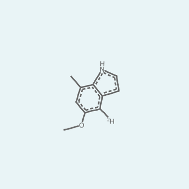 [2H]c1c(OC)cc(C)c2[nH]ccc12